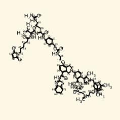 Cc1c(-c2ccc(N3CCc4c(OCCNC(=O)OCc5ccc(NC(=O)[C@H](CCCNC(N)=O)NC(=O)[C@@H](NC(=O)CCCCCN6C(=O)C=CC6=O)C(C)C)cc5)ccc(C(=O)Nc5nc6ccccc6s5)c4C3)nc2C(=O)O)cnn1CC12CC3(C)CC(OCCN(C)CCS(=O)(=O)O)(C1)[C@](C)(C3)C2